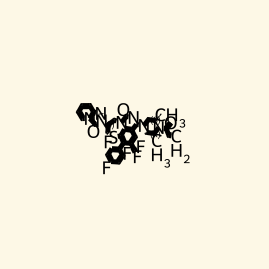 C=CC(=O)N1[C@H](C)CN(c2nc(=O)n3c4c(c(-c5ccc(F)cc5F)c(C(F)(F)F)cc24)SC[C@@H](n2nc4ccccn4c2=O)C3)C[C@@H]1C